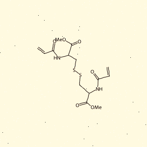 C=CC(=O)NC(CSSCC(NC(=O)C=C)C(=O)OC)C(=O)OC